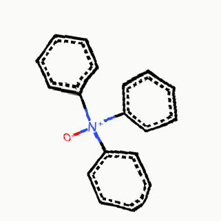 [O-][N+](c1ccccc1)(c1ccccc1)c1ccccc1